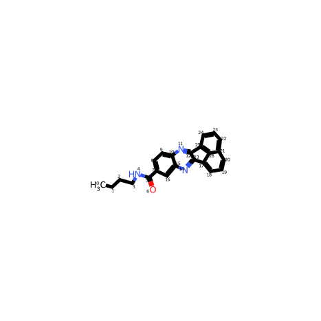 CCCCNC(=O)c1ccc2nc3c(nc2c1)-c1cccc2cccc-3c12